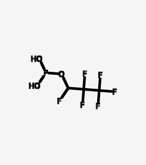 OP(O)OC(F)C(F)(F)C(F)(F)F